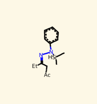 CCC(CC(C)=O)=NN(c1ccccc1)[SiH](C)C